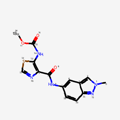 Cn1cc2cc(NC(=O)c3n[c]sc3NC(=O)OC(C)(C)C)ccc2n1